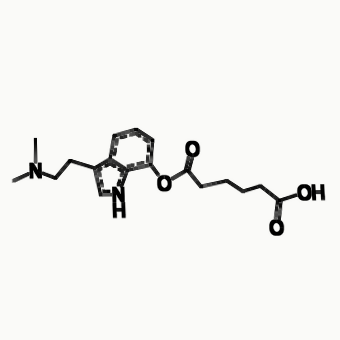 CN(C)CCc1c[nH]c2c(OC(=O)CCCCC(=O)O)cccc12